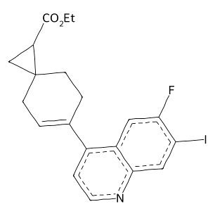 CCOC(=O)C1CC12CC=C(c1ccnc3cc(I)c(F)cc13)CC2